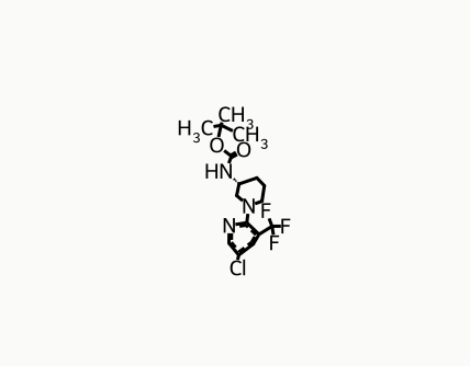 CC(C)(C)OC(=O)N[C@@H]1CCCN(c2ncc(Cl)cc2C(F)(F)F)C1